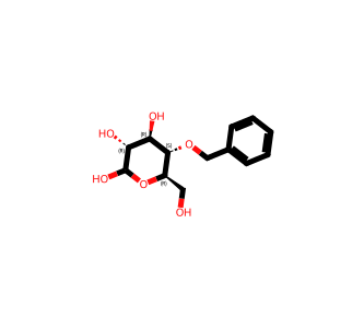 OC[C@H]1OC(O)[C@H](O)[C@@H](O)[C@@H]1OCc1ccccc1